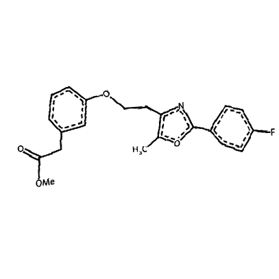 COC(=O)Cc1cccc(OCCc2nc(-c3ccc(F)cc3)oc2C)c1